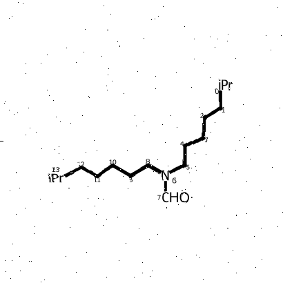 CC(C)CCCCCN([C]=O)CCCCCC(C)C